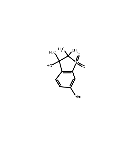 CC(C)(C)c1ccc2c(c1)S(=O)(=O)C(C)(C)C2(C)O